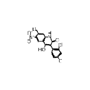 O=c1[nH]c2cc(Cl)c([N+](=O)[O-])cc2c(O)c1-c1ccc(Cl)cc1Cl